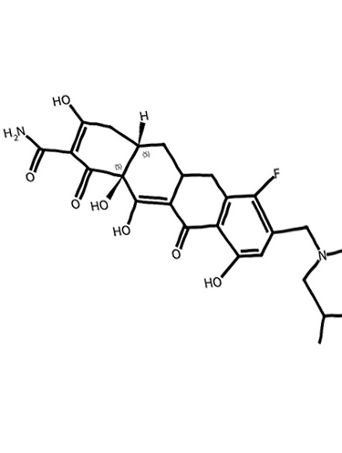 CC(C)CN(C)Cc1cc(O)c2c(c1F)CC1C[C@H]3CC(O)=C(C(N)=O)C(=O)[C@@]3(O)C(O)=C1C2=O